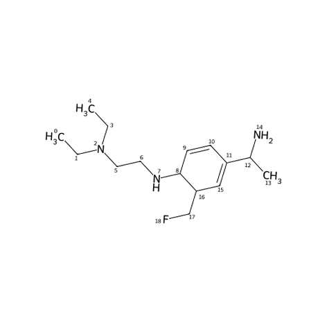 CCN(CC)CCNC1C=CC(C(C)N)=CC1CF